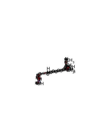 Cc1ncsc1-c1ccc(CNC(=O)[C@@H]2C[C@@H](O)CN2C(=O)[C@@H](NC(=O)COCCOCCOCCOCCOCCOCCNC(=O)CCCCCCCCOc2ccnc(N3C[C@H]4C[C@@H]3CN4/C=C/C(=O)c3ccccc3O)c2)C(C)(C)C)cc1